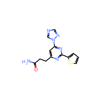 NC(=O)CCc1cc(-n2cncn2)nc(-c2cccs2)n1